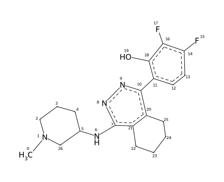 CN1CCCC(Nc2nnc(-c3ccc(F)c(F)c3O)c3c2CCCC3)C1